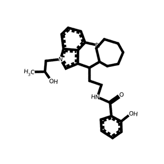 CC(O)Cn1cc(C(CCNC(=O)c2ccccc2O)C2CCCCCC2)c2c(Br)cccc21